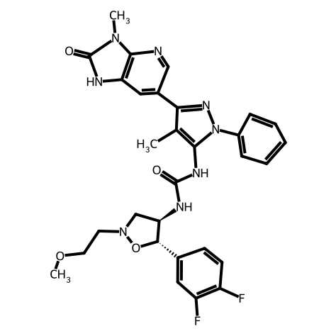 COCCN1C[C@@H](NC(=O)Nc2c(C)c(-c3cnc4c(c3)[nH]c(=O)n4C)nn2-c2ccccc2)[C@H](c2ccc(F)c(F)c2)O1